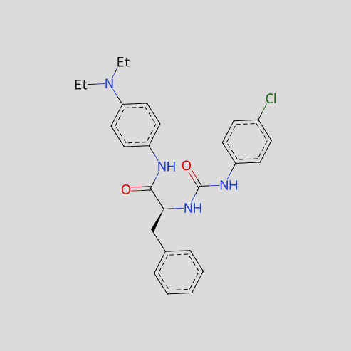 CCN(CC)c1ccc(NC(=O)[C@H](Cc2ccccc2)NC(=O)Nc2ccc(Cl)cc2)cc1